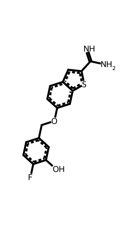 N=C(N)c1cc2ccc(OCc3ccc(F)c(O)c3)cc2s1